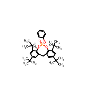 CC(C)(C)c1cc2c(c(C(C)(C)C)c1)OP(=O)(Oc1ccccc1)Oc1c(cc(C(C)(C)C)cc1C(C)(C)C)C2